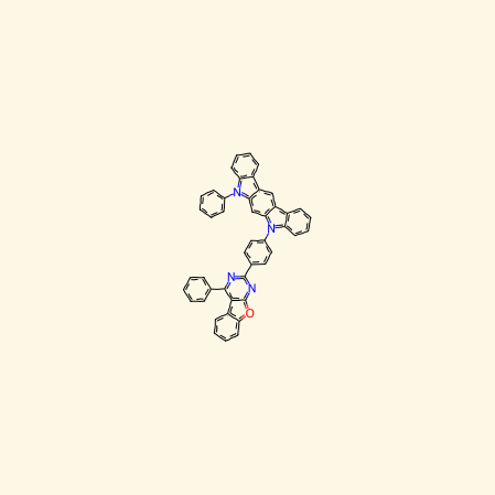 c1ccc(-c2nc(-c3ccc(-n4c5ccccc5c5cc6c7ccccc7n(-c7ccccc7)c6cc54)cc3)nc3oc4ccccc4c23)cc1